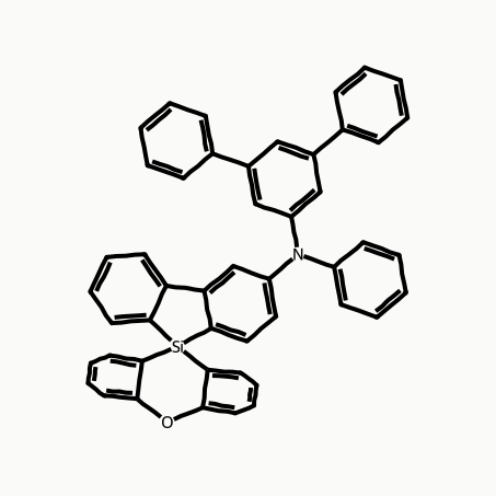 c1ccc(-c2cc(-c3ccccc3)cc(N(c3ccccc3)c3ccc4c(c3)-c3ccccc3[Si]43c4ccccc4Oc4ccccc43)c2)cc1